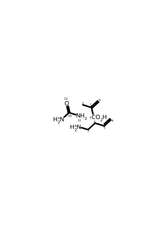 C=C(C)C(=O)O.C=CCCN.NC(N)=O